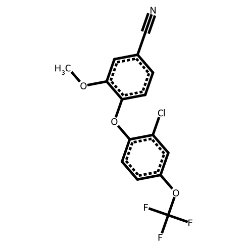 COc1cc(C#N)ccc1Oc1ccc(OC(F)(F)F)cc1Cl